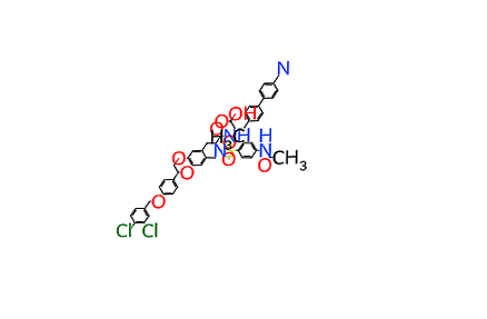 CC(=O)Nc1ccc(S(=O)(=O)N2Cc3cc4c(cc3CC2C(=O)N[C@@H](Cc2ccc(-c3ccc(C#N)cc3)cc2)C(=O)O)OC[C@H](c2ccc(OCc3ccc(Cl)c(Cl)c3)cc2)O4)c(C)c1